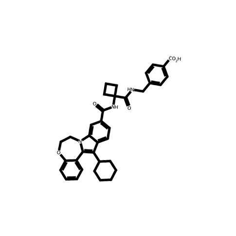 O=C(O)c1ccc(CNC(=O)C2(NC(=O)c3ccc4c(C5CCCCC5)c5n(c4c3)CCOc3ccccc3-5)CCC2)cc1